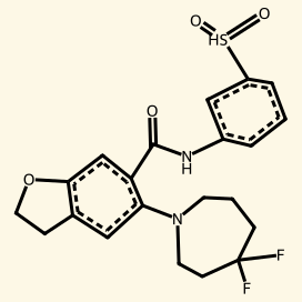 O=C(Nc1cccc([SH](=O)=O)c1)c1cc2c(cc1N1CCCC(F)(F)CC1)CCO2